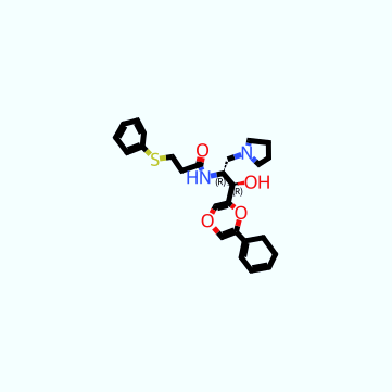 O=C(CCSc1ccccc1)N[C@H](CN1CCCC1)[C@@H](O)C1=COC=C(C2=CC=CCC2)O1